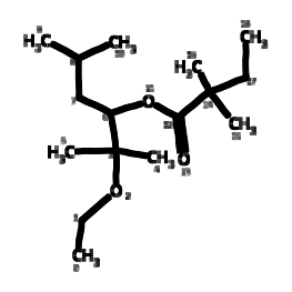 CCOC(C)(C)C(CC(C)C)OC(=O)C(C)(C)CC